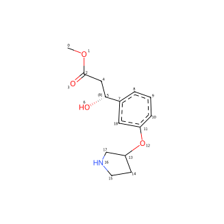 COC(=O)C[C@@H](O)c1cccc(OC2CCNC2)c1